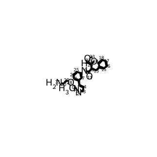 Cn1nccc1-c1cc(NC(=O)C(Cc2ccccc2)C2=COCO2)ccc1OCCN